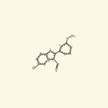 COc1cccc(-c2nc3ccc(Cl)cn3c2C=O)c1